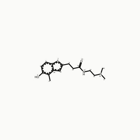 Cc1c(O)ccc2sc(CCC(=O)NCCN(C)C)cc12